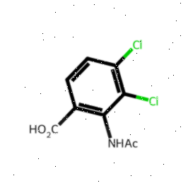 CC(=O)Nc1c(C(=O)O)ccc(Cl)c1Cl